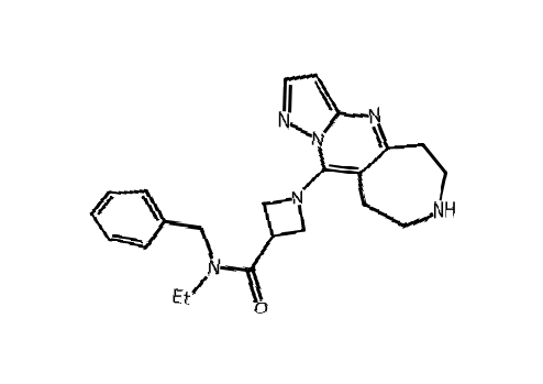 CCN(Cc1ccccc1)C(=O)C1CN(c2c3c(nc4ccnn24)CCNCC3)C1